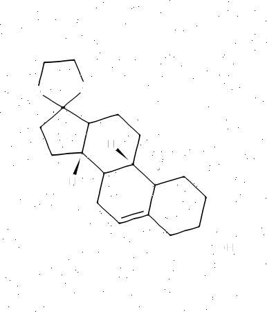 C[C@]12CC[C@H](O)CC1=CCC1[C@@H]2CC[C@@]2(C)[C@H]1CCC21OCCO1